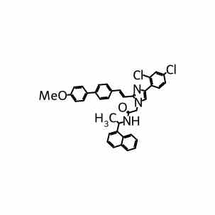 COc1ccc(-c2ccc(C=Cc3nc(-c4ccc(Cl)cc4Cl)cn3CC(=O)NC(C)c3cccc4ccccc34)cc2)cc1